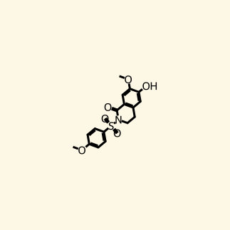 COc1ccc(S(=O)(=O)N2CCc3cc(O)c(OC)cc3C2=O)cc1